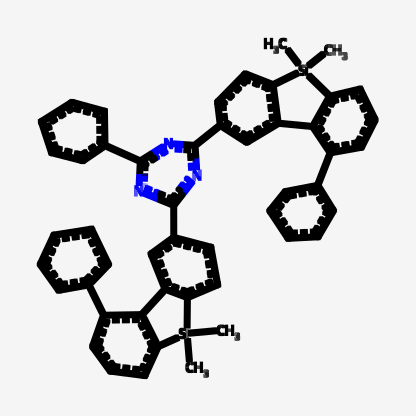 C[Si]1(C)c2ccc(-c3nc(-c4ccccc4)nc(-c4ccc5c(c4)-c4c(-c6ccccc6)cccc4[Si]5(C)C)n3)cc2-c2c(-c3ccccc3)cccc21